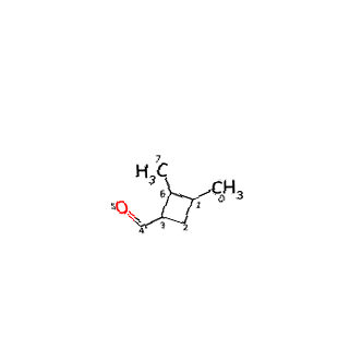 CC1CC([C]=O)C1C